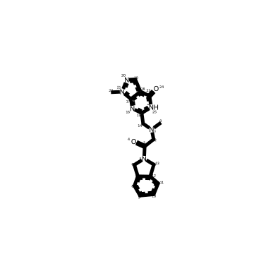 CN(CC(=O)N1Cc2ccccc2C1)Cc1nc2c(cnn2C)c(=O)[nH]1